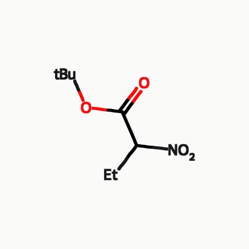 CCC(C(=O)OC(C)(C)C)[N+](=O)[O-]